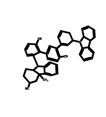 CC12CC(C#N)CCC1N(c1cccc(C#N)c1-c1ccc(C#N)c(C3=CC(N4c5ccccc5C5C=CC=CC54)CC=C3)c1)c1ccccc12